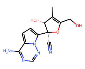 CC1=C(CO)O[C@@](C#N)(c2ccc3c(N)ncnn23)[C@@H]1O